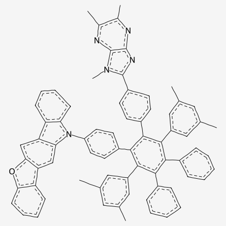 Cc1cc(C)cc(-c2c(-c3ccccc3)c(-c3ccccc3)c(-c3cc(C)cc(C)c3)c(-c3ccc(-n4c5ccccc5c5cc6oc7ccccc7c6cc54)cc3)c2-c2ccc(-c3nc4nc(C)c(C)nc4n3C)cc2)c1